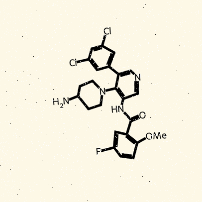 COc1ccc(F)cc1C(=O)Nc1cncc(-c2cc(Cl)cc(Cl)c2)c1N1CCC(N)CC1